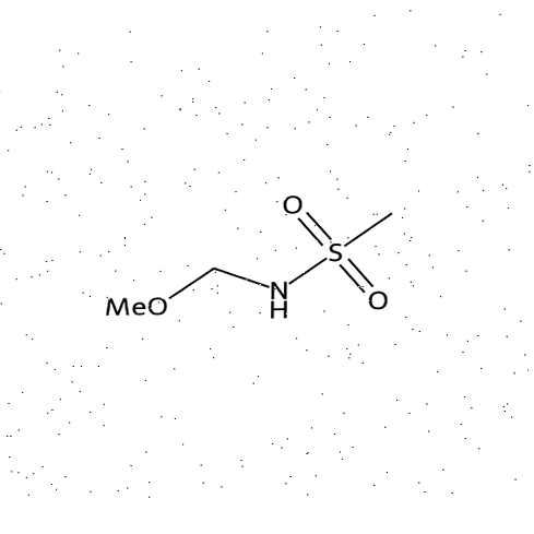 COCNS(C)(=O)=O